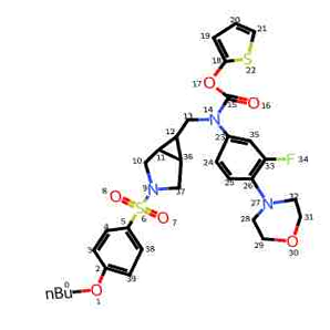 CCCCOc1ccc(S(=O)(=O)N2CC3C(CN(C(=O)Oc4cccs4)c4ccc(N5CCOCC5)c(F)c4)C3C2)cc1